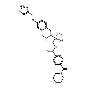 C[C@](O)(CNC(=O)c1ccc(C(=O)N2CCOCC2)cc1)[C@@H]1Cc2ccc(OCc3cn[nH]c3)cc2CN1